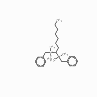 CCCCCCCC([N+](C)(C)Cc1ccccc1)[N+](C)(C)Cc1ccccc1